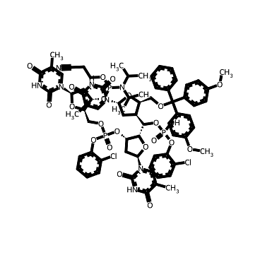 COc1ccc(C(OC[C@@H]2O[C@@H](n3cc(C)c(=O)[nH]c3=O)C[C@@H]2C(OP(=O)(O)Oc2ccccc2Cl)[C@@H]2O[C@@H](n3cc(C)c(=O)[nH]c3=O)C[C@@H]2OP(=O)(OC[C@H]2O[C@@H](n3cc(C)c(=O)[nH]c3=O)C[C@@H]2OP(OCCC#N)N(C(C)C)C(C)C)Oc2ccccc2Cl)(c2ccccc2)c2ccc(OC)cc2)cc1